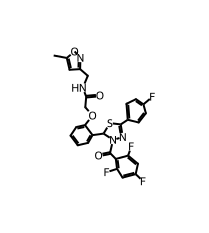 Cc1cc(CNC(=O)COc2ccccc2C2SC(c3ccc(F)cc3)=NN2C(=O)c2c(F)cc(F)cc2F)no1